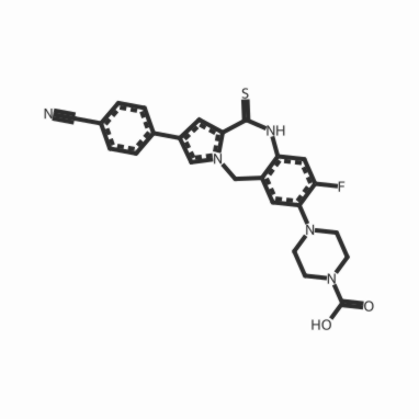 N#Cc1ccc(-c2cc3n(c2)Cc2cc(N4CCN(C(=O)O)CC4)c(F)cc2NC3=S)cc1